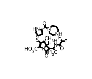 CC(NC(=O)C(F)F)[C@H]1C(=O)N2C(C(=O)O)=C(S[C@@H]3CN[C@H](C(=O)N4CCCNCC4)C3)[C@H](C)[C@H]12